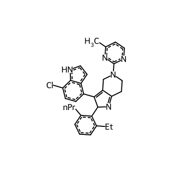 CCCc1cccc(CC)c1C1N=C2CCN(c3nccc(C)n3)CC2=C1c1ccc(Cl)c2[nH]ccc12